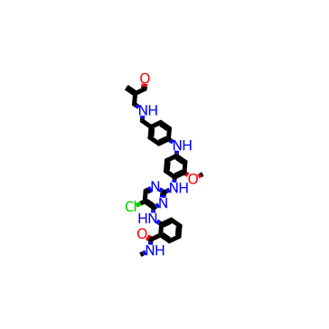 C=C(C=O)CNCc1ccc(Nc2ccc(Nc3ncc(Cl)c(Nc4ccccc4C(=O)NC)n3)c(OC)c2)cc1